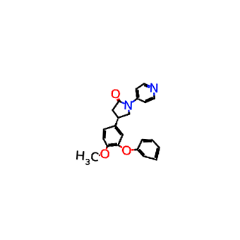 COc1ccc([C@H]2CC(=O)N(c3ccncc3)C2)cc1Oc1ccccc1